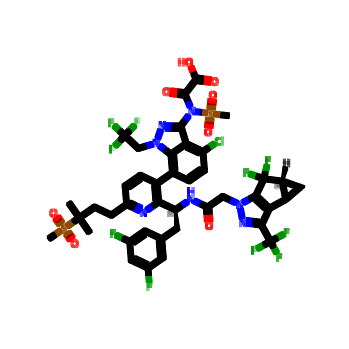 CC(C)(CCc1ccc(-c2ccc(Cl)c3c(N(C(=O)C(=O)O)S(C)(=O)=O)nn(CC(F)(F)F)c23)c([C@H](Cc2cc(F)cc(F)c2)NC(=O)Cn2nc(C(F)(F)F)c3c2C(F)(F)[C@@H]2CC32)n1)S(C)(=O)=O